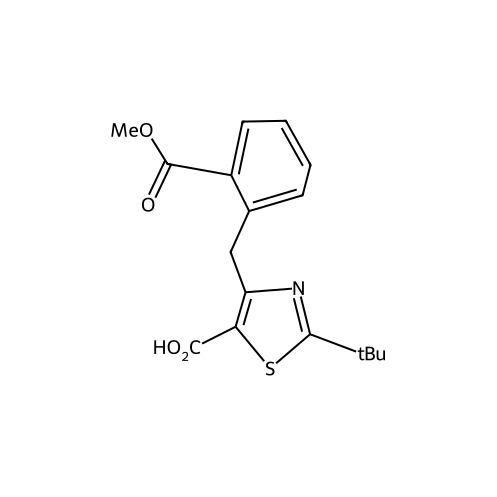 COC(=O)c1ccccc1Cc1nc(C(C)(C)C)sc1C(=O)O